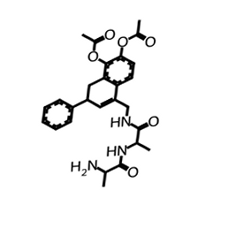 CC(=O)Oc1ccc2c(c1OC(C)=O)CC(c1ccccc1)C=C2CNC(=O)C(C)NC(=O)C(C)N